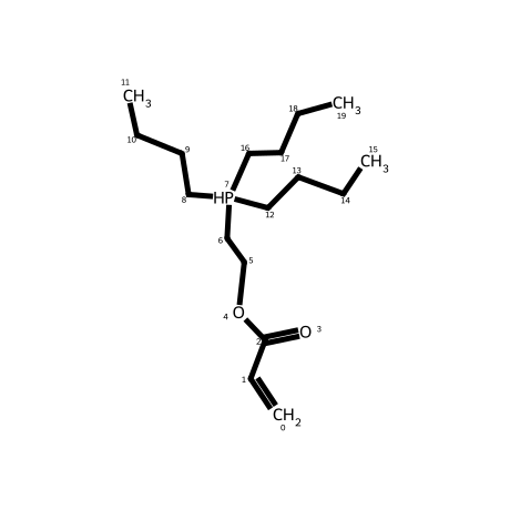 C=CC(=O)OCC[PH](CCCC)(CCCC)CCCC